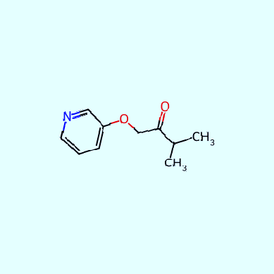 CC(C)C(=O)COc1cccnc1